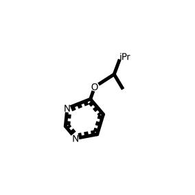 CC(C)C(C)Oc1ccncn1